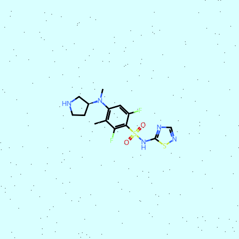 Cc1c(N(C)[C@H]2CCNC2)cc(F)c(S(=O)(=O)Nc2ncns2)c1F